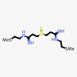 CSCCNC(=N)CCS(=S)CCC(=N)NCCSC